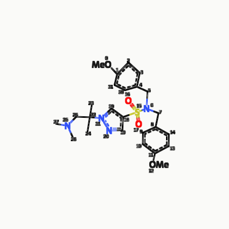 COc1ccc(CN(Cc2ccc(OC)cc2)S(=O)(=O)c2cnn(C(C)(C)CN(C)C)c2)cc1